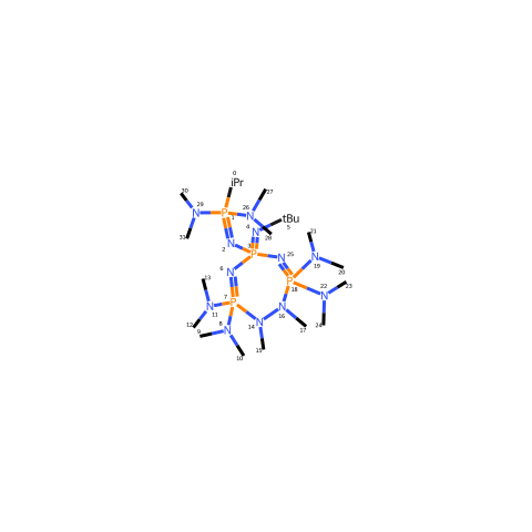 CC(C)P(=NP1(=NC(C)(C)C)N=P(N(C)C)(N(C)C)N(C)N(C)P(N(C)C)(N(C)C)=N1)(N(C)C)N(C)C